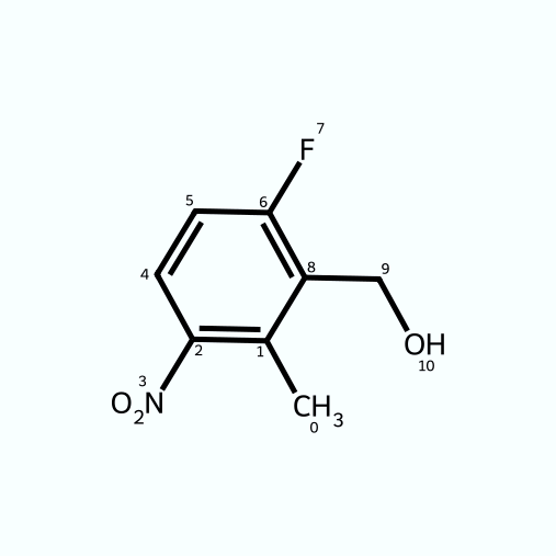 Cc1c([N+](=O)[O-])ccc(F)c1CO